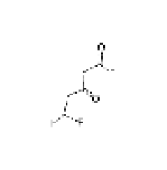 O=C(F)CC(=O)CC(F)F